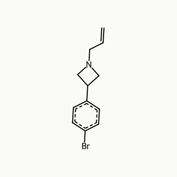 C=CCN1CC(c2ccc(Br)cc2)C1